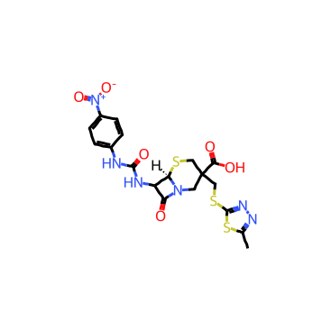 Cc1nnc(SCC2(C(=O)O)CS[C@@H]3C(NC(=O)Nc4ccc([N+](=O)[O-])cc4)C(=O)N3C2)s1